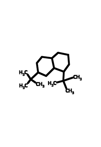 CC(C)(C)C1CCC2CCCC(C(C)(C)C)C2C1